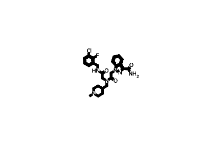 CN1CCC(CN(CC(=O)NCc2cccc(Cl)c2F)C(=O)Cn2nc(C(N)=O)c3ccccc32)CC1